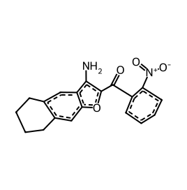 Nc1c(C(=O)c2ccccc2[N+](=O)[O-])oc2cc3c(cc12)CCCC3